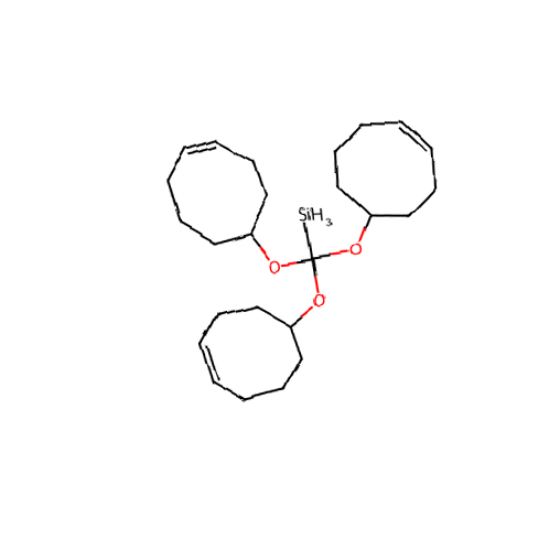 [SiH3]C(OC1CCC=CCCC1)(OC1CCC=CCCC1)OC1CCC=CCCC1